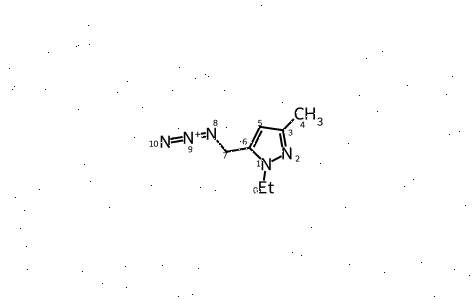 CCn1nc(C)cc1CN=[N+]=[N-]